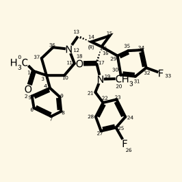 CC(=O)C1(c2ccccc2)CCN(C[C@@H]2C[C@@]2(C(=O)N(C)Cc2ccc(F)cc2)c2ccc(F)cc2)CC1